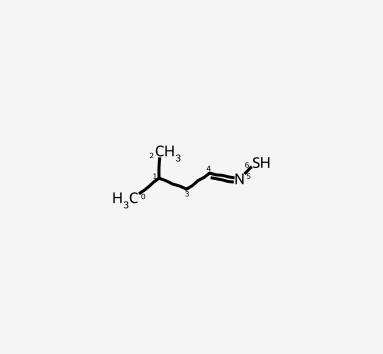 CC(C)C/C=N/S